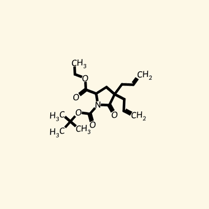 C=CCC1(CC=C)CC(C(=O)OCC)N(C(=O)OC(C)(C)C)C1=O